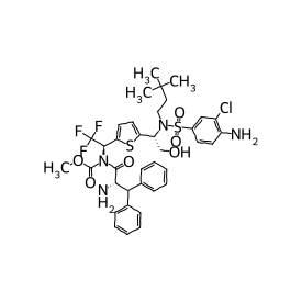 COC(=O)N(C(=O)[C@@H](N)C(c1ccccc1)c1ccccc1)[C@H](c1ccc([C@@H](CO)N(CCC(C)(C)C)S(=O)(=O)c2ccc(N)c(Cl)c2)s1)C(F)(F)F